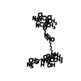 COc1cc(Nc2c(C#N)cnc3cc(OCCCN4CCN(C(=O)CCCCCCCN[C@H](C(=O)N5CC(O)CC5C(=O)NCc5ccc(-c6scnc6C)cc5)C(C)(C)C)CC4)c(OC)cc23)c(Cl)cc1Cl